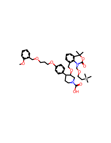 COc1ccccc1COCCCOc1ccc(C2CCN(C(=O)O)CC2OCc2cccc3c2N(COCC[Si](C)(C)C)C(=O)OC3(C)C)cc1